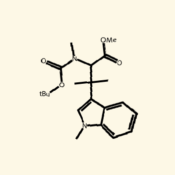 COC(=O)C(N(C)C(=O)OC(C)(C)C)C(C)(C)c1cn(C)c2ccccc12